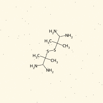 CC(C)(SSC(C)(C)C(N)N)C(N)N